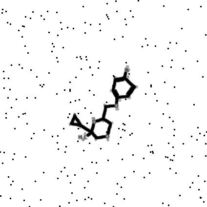 CC1(C2CC2)COCC(COc2ccc(Br)cc2)O1